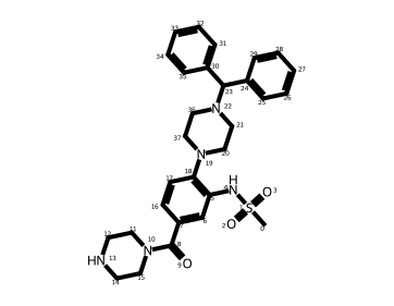 CS(=O)(=O)Nc1cc(C(=O)N2CCNCC2)ccc1N1CCN(C(c2ccccc2)c2ccccc2)CC1